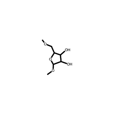 COCC1OC(OC)C(O)C1O